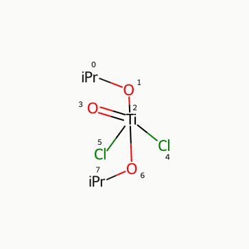 CC(C)[O][Ti](=[O])([Cl])([Cl])[O]C(C)C